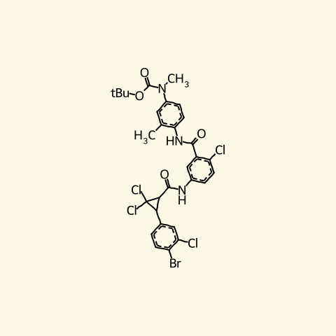 Cc1cc(N(C)C(=O)OC(C)(C)C)ccc1NC(=O)c1cc(NC(=O)C2C(c3ccc(Br)c(Cl)c3)C2(Cl)Cl)ccc1Cl